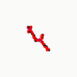 CC1(C)c2ccccc2-c2cc3c(cc21)-c1ccc(-c2ccc(-c4ccc(-c5cc(-c6ccc7c(c6)oc6ccccc67)nc(-c6ccc(-c7cccc8c7C(C)(C)c7cc9c(cc7-8)C(C)(C)c7cc(-c8ccc(-c%10ccc(-c%11nc(-c%12ccccc%12)c(-c%12ccccc%12)nc%11-c%11ccccc%11)cc%10)cc8)ccc7-9)cc6)n5)cc4)cc2)cc1C3(C)C